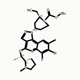 C[C@H](Oc1nc2c(F)c(Br)c(I)cc2c2c1cnn2[C@H]1CCN(C(=O)OC(C)(C)C)[C@H](CC#N)C1)[C@@H]1CCCN1C